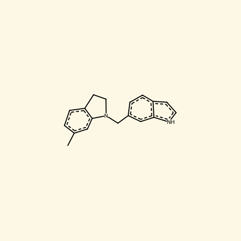 Cc1ccc2c(c1)N(Cc1ccc3cc[nH]c3c1)CC2